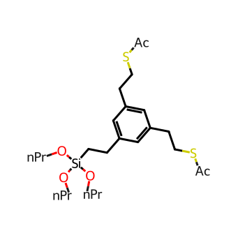 CCCO[Si](CCc1cc(CCSC(C)=O)cc(CCSC(C)=O)c1)(OCCC)OCCC